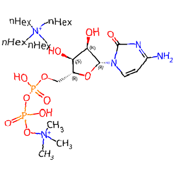 CCCCCC[N+](CCCCCC)(CCCCCC)CCCCCC.C[N+](C)(C)OP(=O)(O)OP(=O)(O)OC[C@H]1O[C@@H](n2ccc(N)nc2=O)[C@H](O)[C@@H]1O